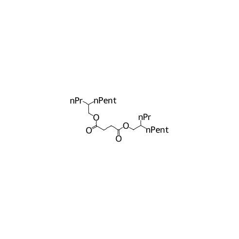 CCCCCC(CCC)COC(=O)CCC(=O)OCC(CCC)CCCCC